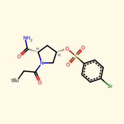 CC(C)(C)CC(=O)N1C[C@@H](OS(=O)(=O)c2ccc(Br)cc2)C[C@H]1C(N)=O